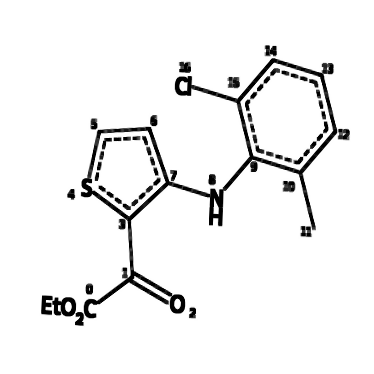 CCOC(=O)C(=O)c1sccc1Nc1c(C)cccc1Cl